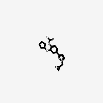 FC(F)OC1=CC=C(c2ccn(CC3CO3)n2)CC1OC1CCCC1